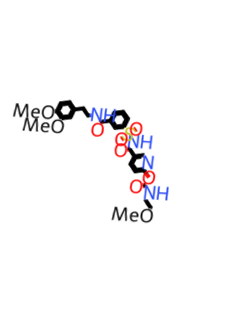 COCCNC(=O)Oc1ccc(C(=O)NS(=O)(=O)c2cccc(C(=O)NCCc3ccc(OC)c(OC)c3)c2)cn1